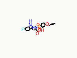 CC#CCOc1ccc(S(=O)(=O)N[C@@H](Cc2c[nH]c3cc(F)ccc23)C(=O)O)cc1